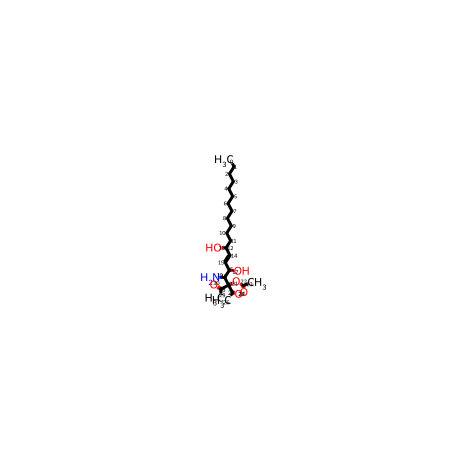 CCCCCCCCCCCCC(O)C=CC(O)C(N)C(OC(C)=O)(C(C)=O)C(C)=O